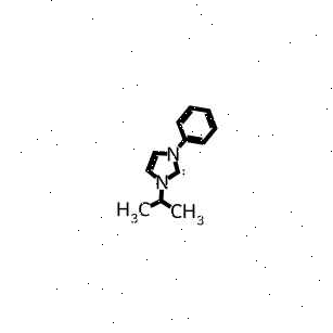 CC(C)N1[C]N(c2ccccc2)C=C1